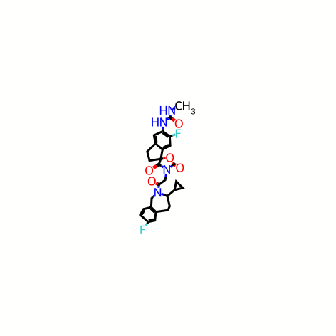 CNC(=O)Nc1cc2c(cc1F)C1(CC2)OC(=O)N(CC(=O)N2Cc3ccc(F)cc3CCC2C2CC2)C1=O